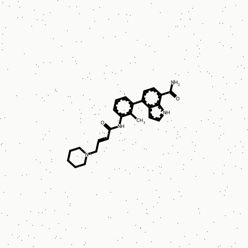 Cc1c(NC(=O)C=CCN2CCCCC2)cccc1-c1ccc(C(N)=O)c2[nH]ccc12